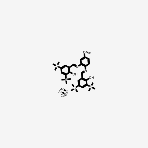 CC(=O)[O-].CC(=O)[O-].COc1ccc(N=Cc2cc([Si](C)(C)C)cc([Si](C)(C)C)c2O)c(N=Cc2cc([Si](C)(C)C)cc([Si](C)(C)C)c2O)c1.[Co+2]